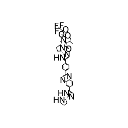 CC(C)[C@@H](C(=O)N1CCC[C@H]1c1ncc(-c2ccc(-c3cnc4cc(-c5cnc([C@@H]6CCCN6)[nH]5)ccc4n3)cc2)[nH]1)N(C)C(=O)OC(=O)C(F)(F)F